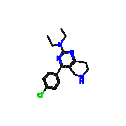 CCN(CC)c1nc2c(c(-c3ccc(Cl)cc3)n1)CNCC2